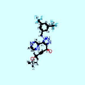 CC(C)(C#CC(=O)c1nnn(Cc2cc(C(F)(F)F)cc(C(F)(F)F)c2)c1-c1cnccn1)O[Si](C)(C)C